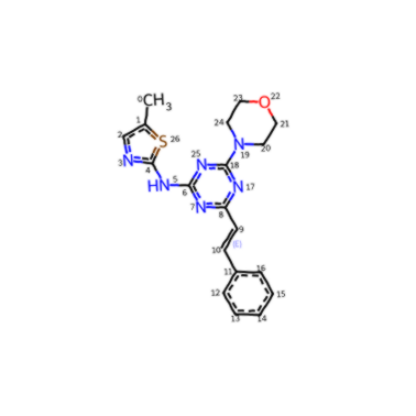 Cc1cnc(Nc2nc(/C=C/c3ccccc3)nc(N3CCOCC3)n2)s1